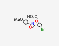 COc1ccc(-c2nc(-c3cc(Br)ccc3OCC(=O)O)co2)cc1